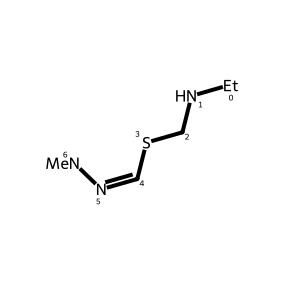 CCNCS/C=N\NC